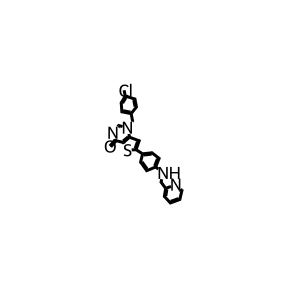 O=c1ncn(Cc2ccc(Cl)cc2)c2cc(-c3ccc(NCc4ccccn4)cc3)sc12